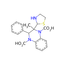 CC1(C2NCCS2)C(c2ccccc2)N(C(=O)O)c2ccccc2N1C(=O)O